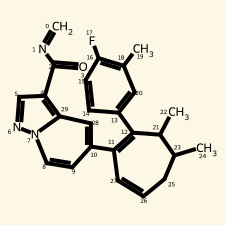 C=NC(=O)c1cnn2ccc(C3=C(c4ccc(F)c(C)c4)C(C)C(C)CC=C3)cc12